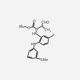 CSc1cccc(Nc2ccc(F)cc2NN(C(=O)OC(C)(C)C)C(C)C=O)c1